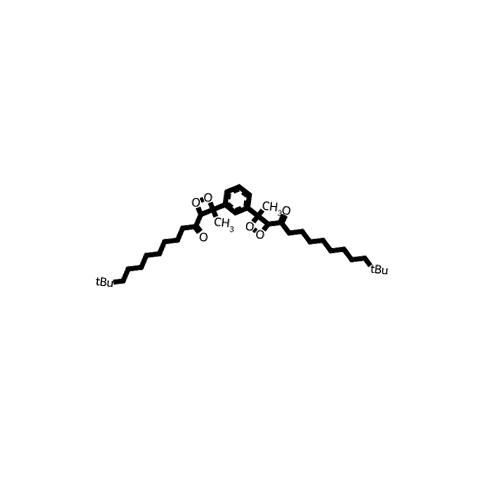 CC(C)(C)CCCCCCCCC(=O)C1OOC1(C)c1cccc(C2(C)OOC2C(=O)CCCCCCCCC(C)(C)C)c1